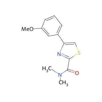 COc1cccc(-c2csc(C(=O)N(C)C)n2)c1